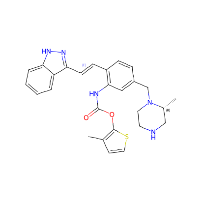 Cc1ccsc1OC(=O)Nc1cc(CN2CCNC[C@H]2C)ccc1/C=C/c1n[nH]c2ccccc12